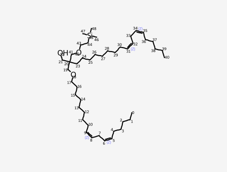 CCCCC/C=C\C/C=C\CCCCCCCCOCC(CO)(CCCCCCCC/C=C\C/C=C\CCCCC)COCC[Si](C)(C)C